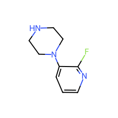 Fc1ncccc1N1CCNCC1